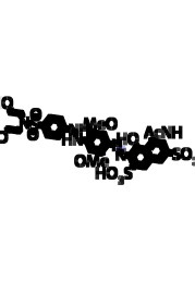 COc1cc(NNc2ccc(S(=O)(=O)N(CCO)CCO)cc2)c(OC)cc1/N=N/c1c(S(=O)(=O)O)cc2cc(S(=O)(=O)O)cc(NC(C)=O)c2c1O